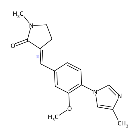 COc1cc(/C=C2\CCN(C)C2=O)ccc1-n1cnc(C)c1